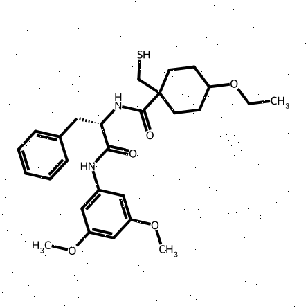 CCOC1CCC(CS)(C(=O)N[C@@H](Cc2ccccc2)C(=O)Nc2cc(OC)cc(OC)c2)CC1